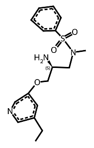 CCc1cncc(OC[C@@H](N)CN(C)S(=O)(=O)c2ccccc2)c1